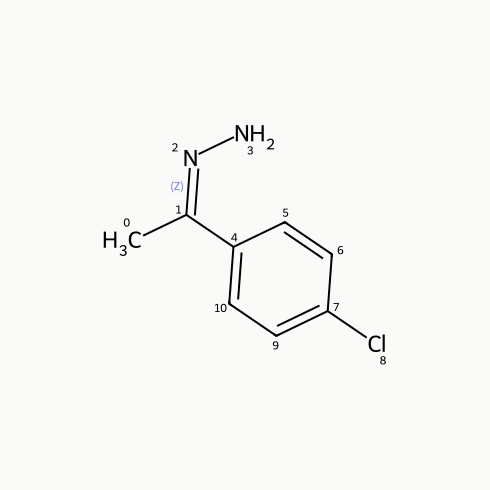 C/C(=N/N)c1ccc(Cl)cc1